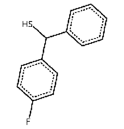 Fc1ccc(C(S)c2ccccc2)cc1